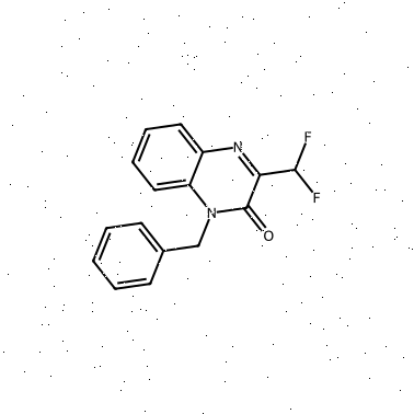 O=c1c(C(F)F)nc2ccccc2n1Cc1ccccc1